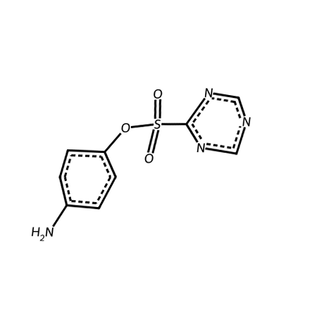 Nc1ccc(OS(=O)(=O)c2ncncn2)cc1